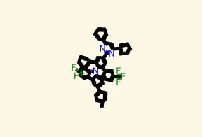 Cc1ccc(-c2ccc3c(c2)c2ccccc2n3-c2c(-c3cccc(C(F)(F)F)c3)cc(-c3nc(-c4ccccc4)cc(-c4ccccc4)n3)cc2-c2cccc(C(F)(F)F)c2)cc1